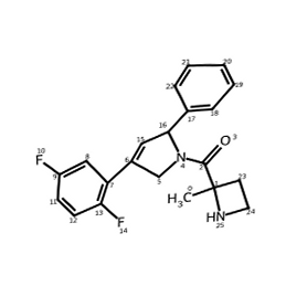 CC1(C(=O)N2CC(c3cc(F)ccc3F)=CC2c2ccccc2)CCN1